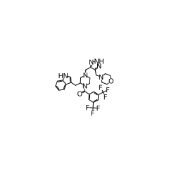 O=C(c1cc(C(F)(F)F)cc(C(F)(F)F)c1)N1CCN(Cc2n[nH]nc2CN2CCOCC2)CC1Cc1c[nH]c2ccccc12